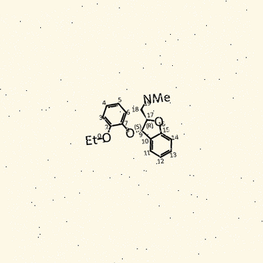 CCOc1ccccc1O[C@H]1c2ccccc2O[C@@H]1CNC